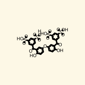 O=C(c1cc(S(=O)(=O)O)cc(S(=O)(=O)O)c1)c1cc(Oc2ccc(O)c(C(=O)c3cc(S(=O)(=O)O)cc(S(=O)(=O)O)c3)c2)ccc1O